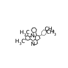 Cc1cc(C)c2c(c1)c1nccc3cc(C4CCC(C)(C)CC4)c4c5ccccc5n2c4c31